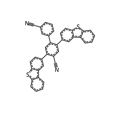 N#Cc1cccc(-c2cc(-c3ccc4sc5ccccc5c4c3)c(C#N)cc2-c2ccc3sc4ccccc4c3c2)c1